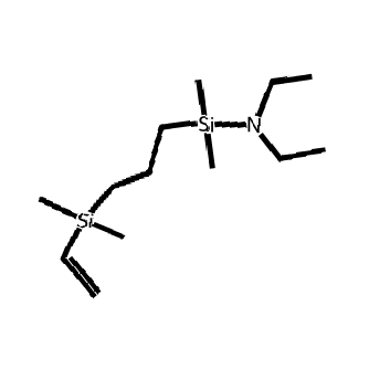 C=C[Si](C)(C)CCC[Si](C)(C)N(CC)CC